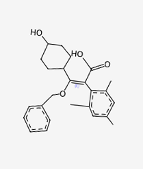 Cc1cc(C)c(/C(C(=O)O)=C(\OCc2ccccc2)C2CCC(O)CC2)c(C)c1